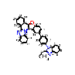 CCc1nc2ccccc2n1-c1ccc(-c2ccc3oc4c5ccccc5c5nc6ccccc6n5c4c3c2)cc1